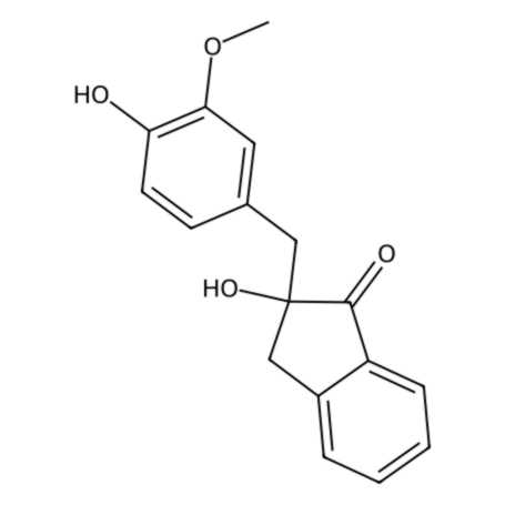 COc1cc(CC2(O)Cc3ccccc3C2=O)ccc1O